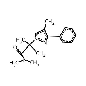 Cc1cn(C(C)(C)C(=O)N(C)C)nc1-c1ccccc1